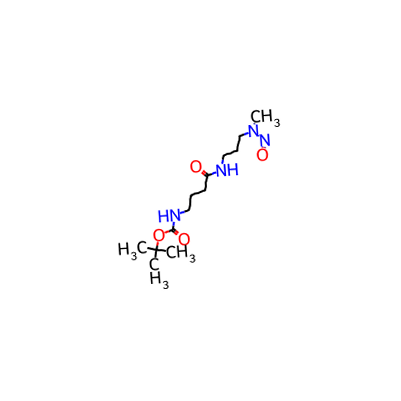 CN(CCCNC(=O)CCCNC(=O)OC(C)(C)C)N=O